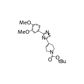 COc1ccc(-c2nsc(C3=CCN(C(=O)OC(C)(C)C)CC3)n2)cc1OC